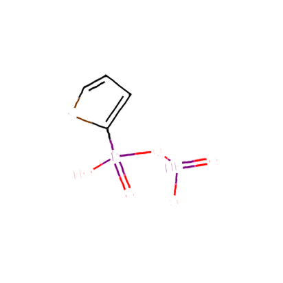 O=[PH](O)OP(=O)(O)c1cccs1